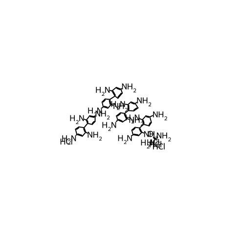 Cl.Cl.Cl.Cl.NC(N)=O.Nc1ccc(-c2ccc(N)cc2N)c(N)c1.Nc1ccc(-c2ccc(N)cc2N)c(N)c1.Nc1ccc(-c2ccc(N)cc2N)c(N)c1.Nc1ccc(-c2ccc(N)cc2N)c(N)c1